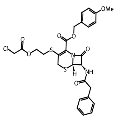 COc1ccc(COC(=O)C2=C(SCCOC(=O)CCl)CS[C@H]3[C@H](NC(=O)Cc4ccccc4)C(=O)N23)cc1